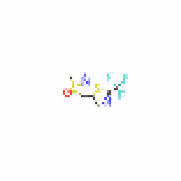 CN=S(C)(=O)CC1CN=C(C(F)(F)F)S1